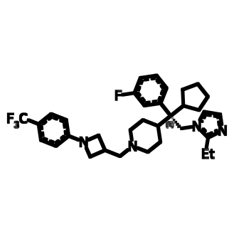 CCc1nccn1C[C@](c1cccc(F)c1)(C1CCCC1)C1CCN(CC2CN(c3ccc(C(F)(F)F)cc3)C2)CC1